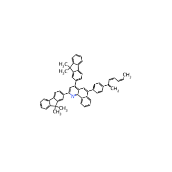 C=C(/C=C\C=C/C)c1ccc(-c2cc3c(-c4ccc5c(c4)C(C)(C)c4ccccc4-5)cc(-c4ccc5c(c4)C(C)(C)c4ccccc4-5)nc3c3ccccc23)cc1